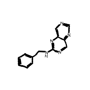 c1ccc(CNc2ncc3ncncc3n2)cc1